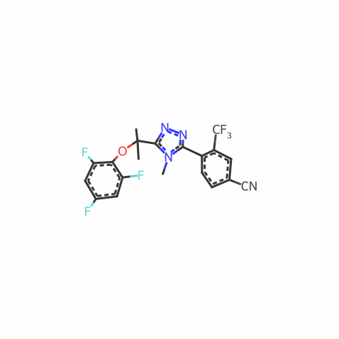 Cn1c(-c2ccc(C#N)cc2C(F)(F)F)nnc1C(C)(C)Oc1c(F)cc(F)cc1F